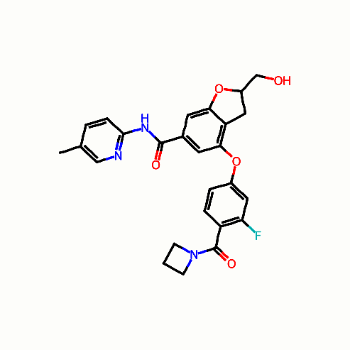 Cc1ccc(NC(=O)c2cc(Oc3ccc(C(=O)N4CCC4)c(F)c3)c3c(c2)OC(CO)C3)nc1